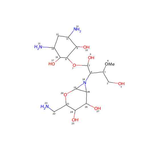 COC(CO)C(C(O)OC1C(O)C(N)CC(N)C1O)N1C2OC(CN)C(O)C(O)C21